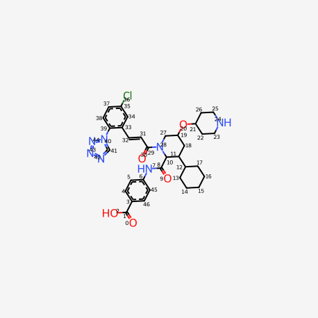 O=C(O)c1ccc(NC(=O)C2C(C3CCCCC3)CC(OC3CCNCC3)CN2C(=O)C=Cc2cc(Cl)ccc2-n2cnnn2)cc1